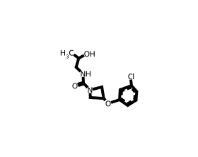 CC(O)CNC(=O)N1CC(Oc2cccc(Cl)c2)C1